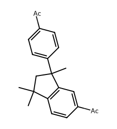 CC(=O)c1ccc(C2(C)CC(C)(C)c3ccc(C(C)=O)cc32)cc1